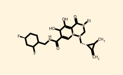 C=C1C(C)[C@H]1CN1CN(CC)C(=O)C2=C(O)C(O)C(C(=O)NCC3CC[C@H](F)CC3F)=CN21